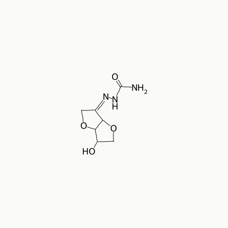 NC(=O)NN=C1COC2C(O)COC12